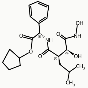 CC(C)C[C@@H](C(=O)N[C@H](C(=O)OC1CCCC1)c1ccccc1)[C@H](O)C(=O)NO